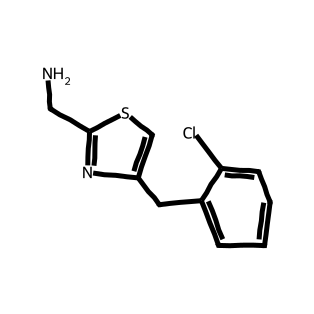 NCc1nc(Cc2ccccc2Cl)cs1